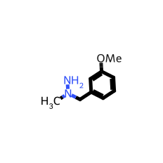 COc1cccc(CN(C)N)c1